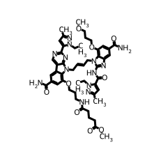 CCn1nc(C)cc1C(=O)Nc1nc2cc(C(N)=O)cc(OCCCOC)c2n1CC=CCn1c2nc(-c3cc(C)nn3CC)ncc2c2cc(C(N)=O)cc(OCCCNC(=O)CCCC(=O)OC)c21